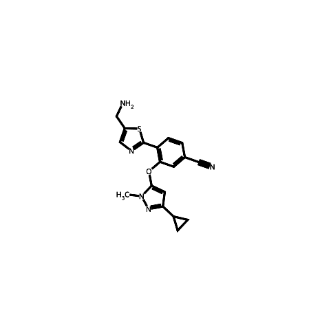 Cn1nc(C2CC2)cc1Oc1cc(C#N)ccc1-c1ncc(CN)s1